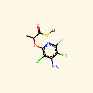 CCSC(=O)C(C)Oc1nc(F)c(Cl)c(N)c1Cl